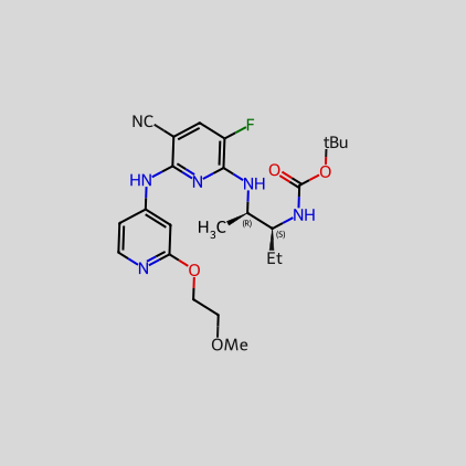 CC[C@H](NC(=O)OC(C)(C)C)[C@@H](C)Nc1nc(Nc2ccnc(OCCOC)c2)c(C#N)cc1F